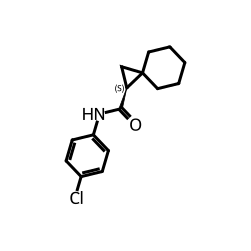 O=C(Nc1ccc(Cl)cc1)[C@H]1CC12CCCCC2